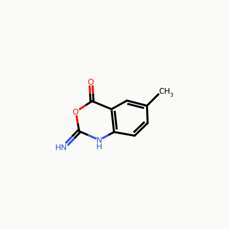 Cc1ccc2[nH]c(=N)oc(=O)c2c1